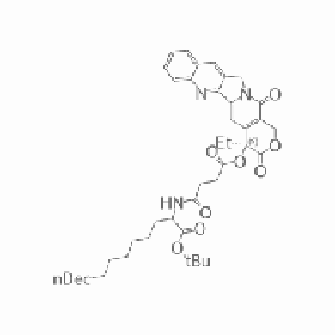 CCCCCCCCCCCCCCCCC(NC(=O)CCC(=O)O[C@]1(CC)C(=O)OCc2c1cc1n(c2=O)Cc2cc3ccccc3nc2-1)C(=O)OC(C)(C)C